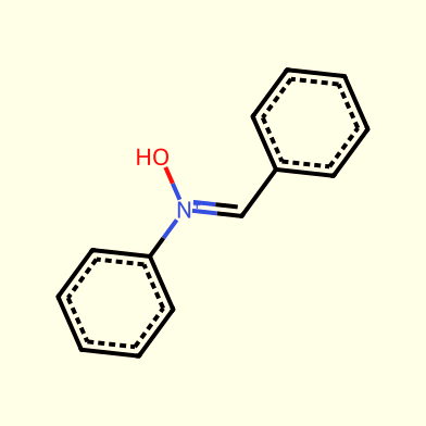 O[N+](=Cc1ccccc1)c1ccccc1